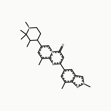 Cc1cc(-c2cc(=O)n3cc(C4CCN(C)C(C)(C)C4C)cc(C)c3n2)cc2cn(C)nc12